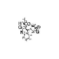 NC(=O)c1c(O)nc2ccccc2c1C1C=CS(=O)(=O)C1